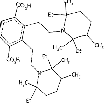 CCC1(C)CCC(C)C(C)(CC)N1CCc1c(C(=O)O)ccc(C(=O)O)c1CCN1C(C)(CC)CCC(C)C1(C)CC